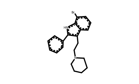 Brc1cccc2c(CCN3CCCCC3)c(-c3ccccc3)[nH]c12